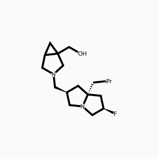 CC(C)C[C@]12C[C@@H](F)CN1C[C@@H](CN1CC3CC3(CO)C1)C2